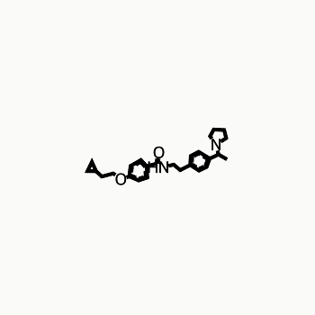 CC(c1ccc(CCNC(=O)c2ccc(OCCC3CC3)cc2)cc1)N1CCCC1